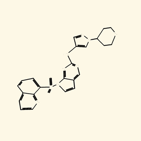 O=S(=O)(c1cccc2cccnc12)n1ccc2cnc(Nc3cnn(C4CCNCC4)c3)nc21